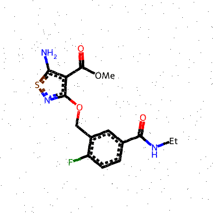 CCNC(=O)c1ccc(F)c(COc2nsc(N)c2C(=O)OC)c1